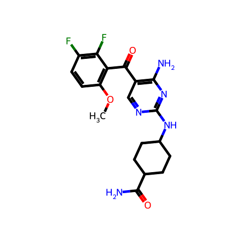 COc1ccc(F)c(F)c1C(=O)c1cnc(NC2CCC(C(N)=O)CC2)nc1N